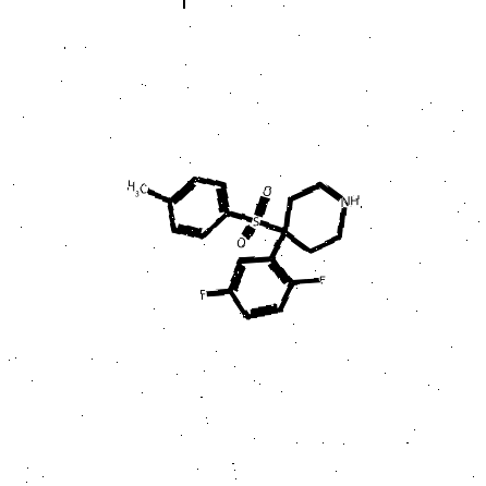 Cc1ccc(S(=O)(=O)C2(c3cc(F)ccc3F)CCNCC2)cc1